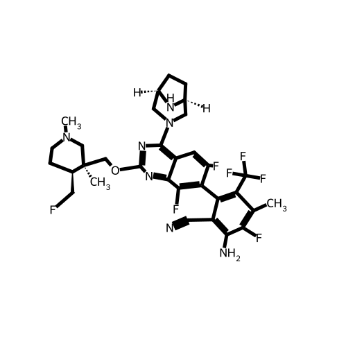 Cc1c(F)c(N)c(C#N)c(-c2c(F)cc3c(N4C[C@H]5CC[C@@H](C4)N5)nc(OC[C@]4(C)CN(C)CC[C@@H]4CF)nc3c2F)c1C(F)(F)F